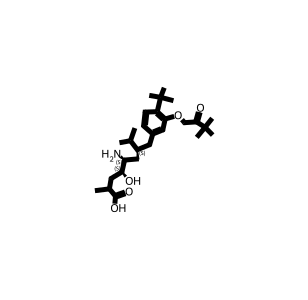 CC(C[C@H](O)[C@@H](N)C[C@H](Cc1ccc(C(C)(C)C)c(OCC(=O)C(C)(C)C)c1)C(C)C)C(=O)O